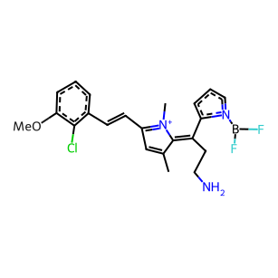 COc1cccc(/C=C/C2=[N+](C)C(=C(/CCN)c3cccn3B(F)F)/C(C)=C2)c1Cl